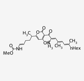 CCCCCC/C(C)=C/C=C(C)/C=C(\C)C(=O)c1c(O)cc(C(C)CC/C=C/NC(=O)OC)oc1=O